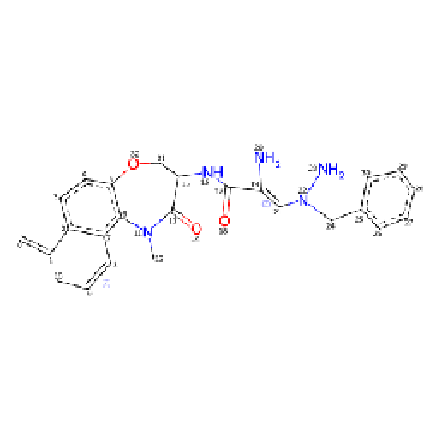 C=Cc1ccc2c(c1/C=C\C)N(C)C(=O)C(NC(=O)/C(N)=C/N(N)Cc1ccccc1)CO2